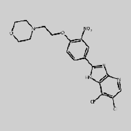 O=[N+]([O-])c1cc(-c2nc3ncc(Cl)c(Cl)c3[nH]2)ccc1OCCN1CCOCC1